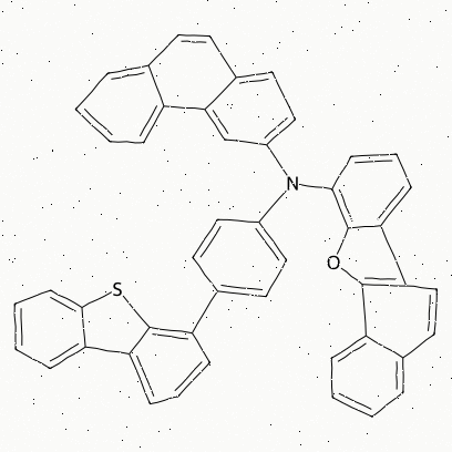 c1ccc2c(c1)ccc1ccc(N(c3ccc(-c4cccc5c4sc4ccccc45)cc3)c3cccc4c3oc3c5ccccc5ccc43)cc12